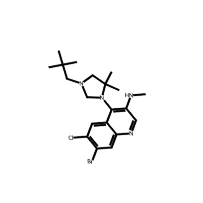 CNc1cnc2cc(Br)c(Cl)cc2c1N1CN(CC(C)(C)C)CC1(C)C